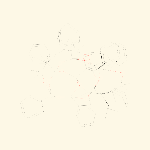 CCC1(C)CC(C)(C)[Si](C)(C)O[Si]2(c3ccccc3)O[Si]3(c4ccccc4)O[Si]4(c5ccccc5)O[Si](c5ccccc5)(O[Si]5(c6ccccc6)O[Si](c6ccccc6)(O2)O[Si](c2ccccc2)(O3)O[Si](C)(C)[C@](C)(CC)C(C)(CC)[Si](C)(C)O[Si](c2ccccc2)(O4)O5)O[Si]1(C)C